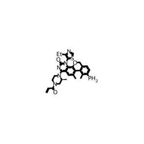 C=CC(=O)N1CCN(c2nc(=O)n(-c3scnc3CC)c3c4c(c(C)cc23)-c2c(ccc(P)c2C)CO4)[C@@H](C)C1